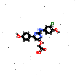 COc1ccc(-c2cc(OCC(=O)O)nc(Nc3ccc(OC)c(Cl)c3)n2)cc1